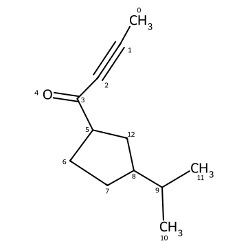 CC#CC(=O)C1CCC(C(C)C)C1